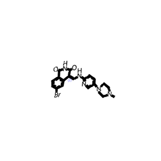 CN1CCN(c2ccc(N/C=C3\C(=O)NC(=O)c4ccc(Br)cc43)nc2)CC1